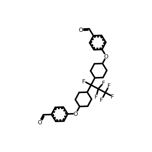 O=Cc1ccc(OC2CCC(C(F)(C3CCC(Oc4ccc(C=O)cc4)CC3)C(F)(F)C(F)(F)F)CC2)cc1